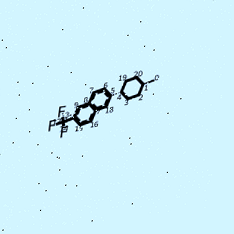 C[C@H]1CC[C@H](c2ccc3cc(C(F)(F)F)ccc3c2)CC1